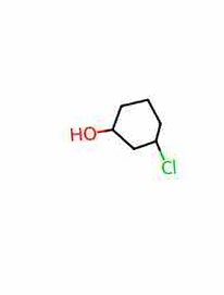 OC1CCCC(Cl)C1